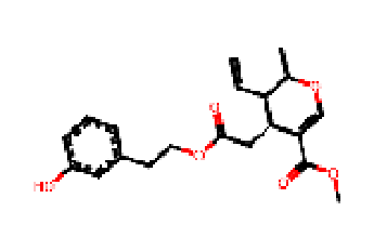 C=CC1C(C)OC=C(C(=O)OC)[C@H]1CC(=O)OCCc1cccc(O)c1